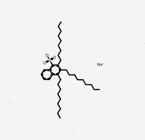 CCCCCCCCCc1c(CCCCCCCCC)c(S(=O)(=O)[O-])c2ccccc2c1CCCCCCCCC.[Na+]